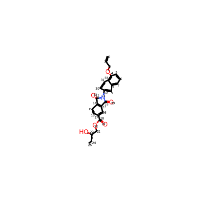 C=CCOc1cccc2cc(N3C(=O)c4ccc(C(=O)OCC(O)CC)cc4C3=O)ccc12